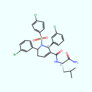 CC(C)C[C@H](NC(=O)C1=CCC(c2cccc(Br)c2)N(S(=O)(=O)c2ccc(Cl)cc2)[C@H]1c1cccc(Cl)c1)C(N)=O